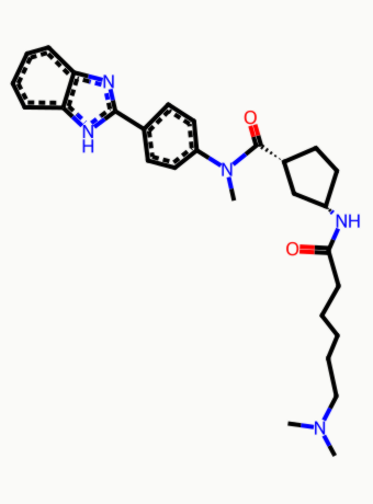 CN(C)CCCCCC(=O)N[C@H]1CC[C@@H](C(=O)N(C)c2ccc(-c3nc4ccccc4[nH]3)cc2)C1